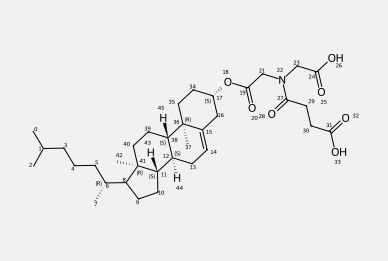 CC(C)CCC[C@@H](C)C1CC[C@H]2[C@@H]3CC=C4C[C@@H](OC(=O)CN(CC(=O)O)C(=O)CCC(=O)O)CC[C@]4(C)[C@H]3CC[C@]12C